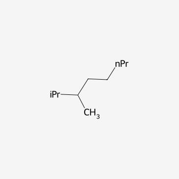 [CH2]CCCCC(C)C([CH2])C